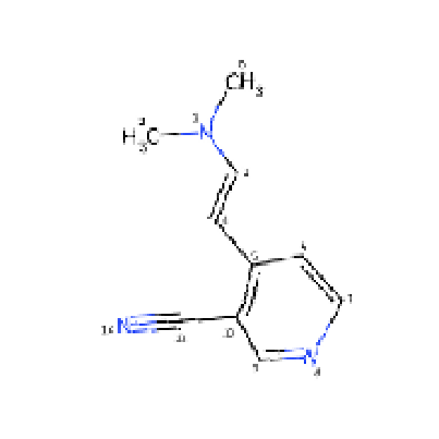 CN(C)C=Cc1ccncc1C#N